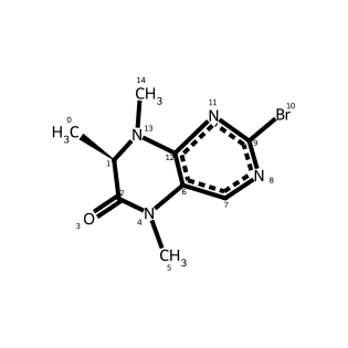 C[C@@H]1C(=O)N(C)c2cnc(Br)nc2N1C